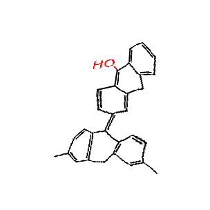 Cc1ccc2c(c1)Cc1cc(C)ccc1C2=c1ccc2c(c1)Cc1ccccc1C=2O